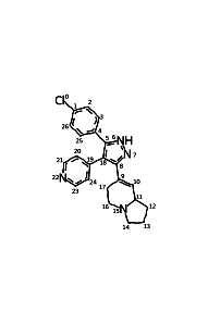 Clc1ccc(-c2[nH]nc(C3=CC4CCCN4CC3)c2-c2ccncc2)cc1